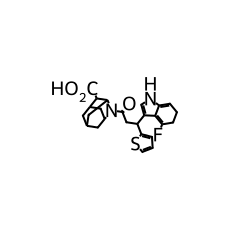 O=C(O)C1C2CC3CC(C2)N(C(=O)CC(c2cccs2)c2c[nH]c4c2=C(F)CCC=4)C1C3